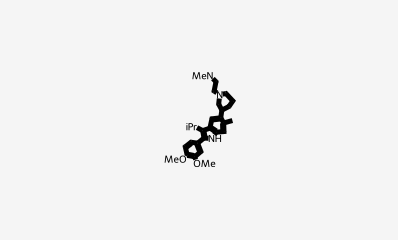 CNCCN1CCCC(c2cc3c(C(C)C)c(-c4ccc(OC)c(OC)c4)[nH]c3cc2C)C1